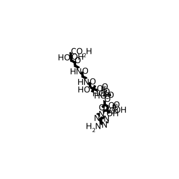 CC(C)(COP(=O)(O)OP(=O)(O)OCC1OC(n2cnc3c(N)ncnc32)C(O)C1OP(=O)(O)O)C(O)C(=O)NCCC(=O)NCCC(=O)CC(O)(O)CC(=O)O